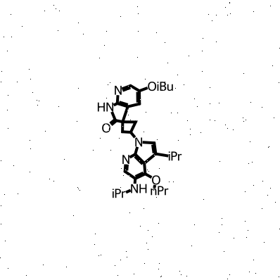 CCCOc1c(NC(C)C)cnc2c1c(C(C)C)cn2C1CC2(C1)C(=O)Nc1ncc(OCC(C)C)cc12